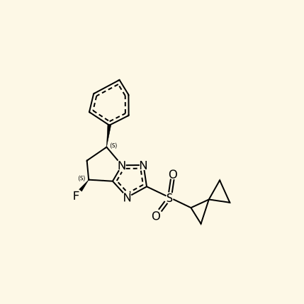 O=S(=O)(c1nc2n(n1)[C@H](c1ccccc1)C[C@@H]2F)C1CC12CC2